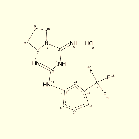 Cl.N=C(NC(=N)N1CCCC1)Nc1cccc(C(F)(F)F)c1